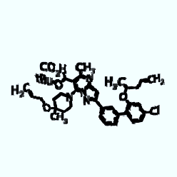 C=CCOC1(C)CCN(c2c(C(OC(C)(C)C)C(=O)O)c(C)nc3cc(-c4cccc(-c5ccc(Cl)cc5OC(C)CC=C)c4)nn23)CC1